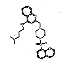 CN(C)CCCNc1nc(CN2CCN(S(=O)(=O)c3cccc4cccnc34)CC2)nc2ccccc12